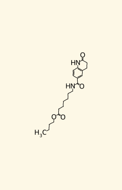 CCCCOC(=O)CCCCCCNC(=O)c1ccc2c(c1)CCC(=O)N2